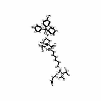 COc1ccc(C(OC[C@@H](CNC(=O)NCCCCCCOP(OCCC#N)N(C(C)C)C(C)C)O[Si](C)(C)C(C)(C)C)(c2ccccc2)c2ccc(C)cc2)cc1